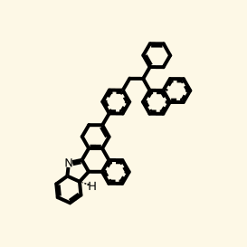 C1=CCCC(C(Cc2ccc(C3=CC4=C(CC3)C3=NC5C=CC=C[C@@H]5C3c3ccccc34)cc2)c2cccc3ccccc23)=C1